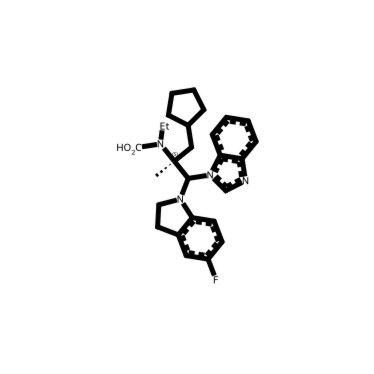 CCN(C(=O)O)[C@@](C)(CC1CCCC1)C(N1CCc2cc(F)ccc21)n1cnc2ccccc21